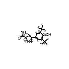 CC(C)(C)c1cc(-c2nnc(C(N)=O)s2)cc(C(C)(C)C)c1O